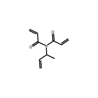 C=CC(=O)N(C(=O)C=C)C(C)C=C